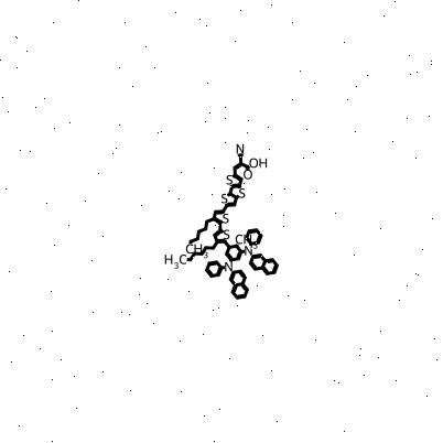 CCCCCCc1cc(C2=CC3Sc4cc(/C=C(/C#N)C(=O)O)sc4C3S2)sc1-c1cc(CCCCCC)c(C2C=C(N(c3ccccc3)c3ccc4ccccc4c3)C=C(N(c3ccc4ccccc4c3)C3C=CC=CC3)C2C)s1